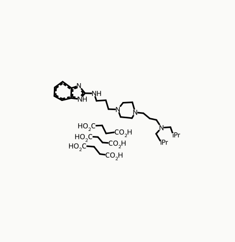 CC(C)CN(CCCN1CCN(CCCNc2nc3ccccc3[nH]2)CC1)CC(C)C.O=C(O)CCC(=O)O.O=C(O)CCC(=O)O.O=C(O)CCC(=O)O